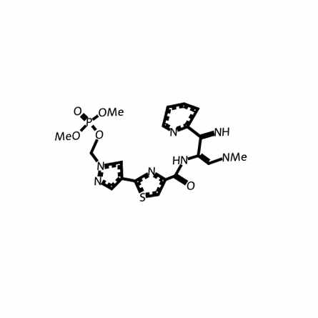 CN/C=C(/NC(=O)c1csc(-c2cnn(COP(=O)(OC)OC)c2)n1)C(=N)c1ccccn1